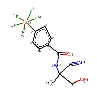 CC(C#N)(CO)NC(=O)c1ccc(S(F)(F)(F)(F)F)cc1